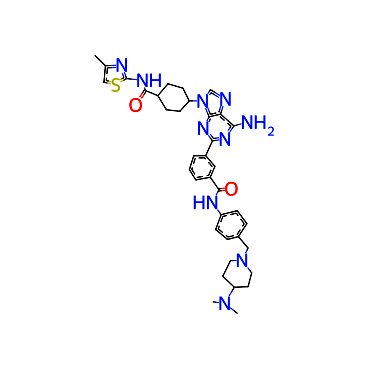 Cc1csc(NC(=O)C2CCC(n3cnc4c(N)nc(-c5cccc(C(=O)Nc6ccc(CN7CCC(N(C)C)CC7)cc6)c5)nc43)CC2)n1